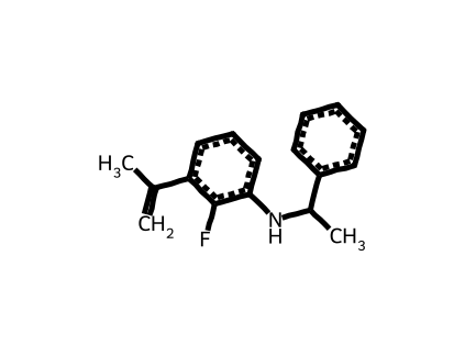 C=C(C)c1cccc(NC(C)c2ccccc2)c1F